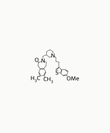 COc1ccc2c(CCCN3CCCC(CN4CCc5cc(C)c(C)cc5CC4=O)C3)csc2c1